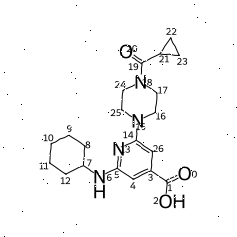 O=C(O)c1cc(NC2CCCCC2)nc(N2CCN(C(=O)C3CC3)CC2)c1